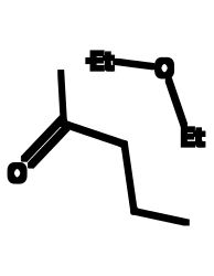 CCCC(C)=O.C[CH]OCC